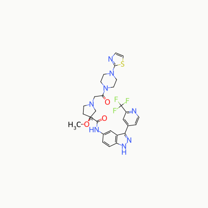 CO[C@@]1(C(=O)Nc2ccc3[nH]nc(-c4ccnc(C(F)(F)F)c4)c3c2)CCN(CC(=O)N2CCN(c3nccs3)CC2)C1